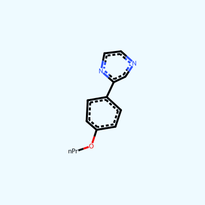 CCCOc1ccc(-c2cnccn2)cc1